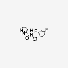 O=C(N[C@H]1CC[C@H]1c1ccc(F)cc1F)c1cccnn1